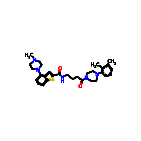 Cc1cccc(N2CCN(C(=O)CCCNC(=O)c3cc4c(N5CCN(C)CC5)cccc4s3)CC2)c1C